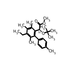 CCc1c(C)c(C)c([C@H](OC(C)(C)C)C(=O)OC)c(-c2ccc(C)cc2)c1C